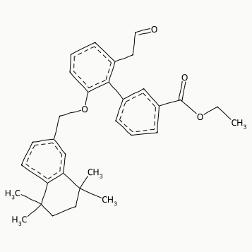 CCOC(=O)c1cccc(-c2c(CC=O)cccc2OCc2ccc3c(c2)C(C)(C)CCC3(C)C)c1